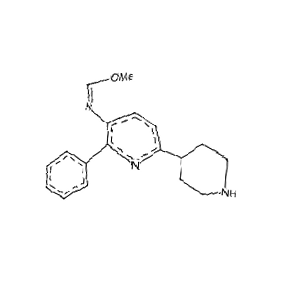 CO/C=N\c1ccc(C2CCNCC2)nc1-c1ccccc1